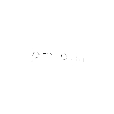 CCO[C@@H](Cc1ccc(OC/C=C/C#Cc2cc(OC)cc(OC)c2)cc1)C(=O)O